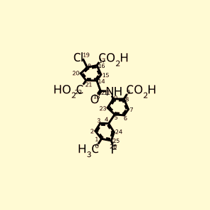 Cc1ccc(-c2ccc(C(=O)O)c(NC(=O)c3cc(C(=O)O)c(Cl)cc3C(=O)O)c2)cc1F